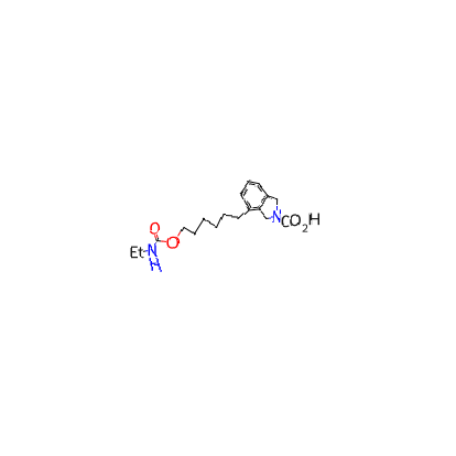 CCNC(=O)OCCCCCCc1cccc2c1CN(C(=O)O)C2